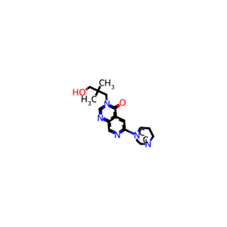 CC(C)(CO)Cn1cnc2cnc(N3CCN4CCC3CC4)cc2c1=O